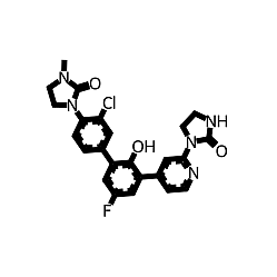 CN1CCN(c2ccc(-c3cc(F)cc(-c4ccnc(N5CCNC5=O)c4)c3O)cc2Cl)C1=O